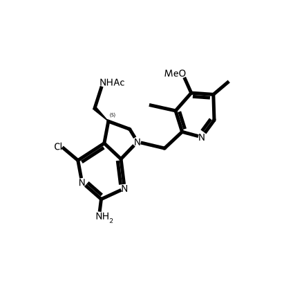 COc1c(C)cnc(CN2C[C@H](CNC(C)=O)c3c(Cl)nc(N)nc32)c1C